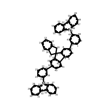 c1cc(-c2ccc3c(c2)C2(Cc4ccccc4C2)c2cc(-c4cccc(-n5c6ccccc6c6ccccc65)c4)ccc2-3)cc(-n2c3ccccc3c3ccccc32)c1